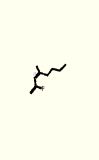 C=C(F)/C=C(/C)CCCC